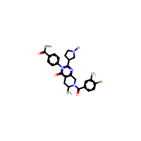 CCN1CCC(c2nc3c(c(=O)n2-c2ccc(C(=O)NC)cc2)CC(C)N(C(=O)c2ccc(Br)c(C(F)(F)F)c2)C3)C1